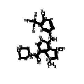 Cl.Cn1ccc2c(Nc3ccc(Cl)c(C(F)(F)F)c3)ncc(C(=O)N3CCOCC3)c21